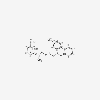 CC(CCCCCCN1C=CC=NC1c1ccc(Cl)cc1)N1CC2(C=O)CCC1CN2